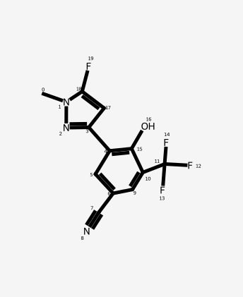 Cn1nc(-c2cc(C#N)cc(C(F)(F)F)c2O)cc1F